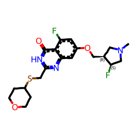 CN1C[C@H](COc2cc(F)c3c(=O)[nH]c(CSC4CCOCC4)nc3c2)[C@H](F)C1